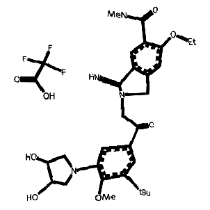 CCOc1cc2c(cc1C(=O)NC)C(=N)N(CC(=O)c1cc(N3CC(O)C(O)C3)c(OC)c(C(C)(C)C)c1)C2.O=C(O)C(F)(F)F